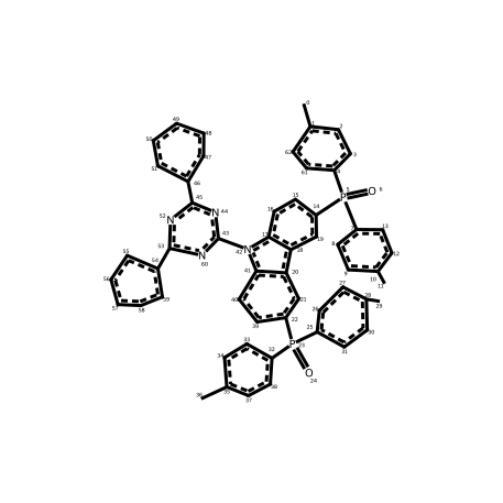 Cc1ccc(P(=O)(c2ccc(C)cc2)c2ccc3c(c2)c2cc(P(=O)(c4ccc(C)cc4)c4ccc(C)cc4)ccc2n3-c2nc(-c3ccccc3)nc(-c3ccccc3)n2)cc1